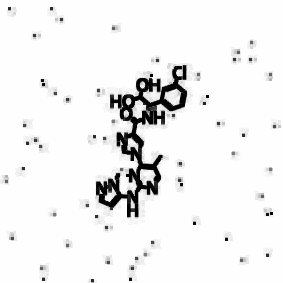 Cc1cnc(Nc2ccnn2C)nc1-n1cnc(C(=O)N[C@@H](c2cccc(Cl)c2)C(O)O)c1